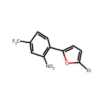 CCc1ccc(-c2ccc(C(F)(F)F)cc2[N+](=O)[O-])o1